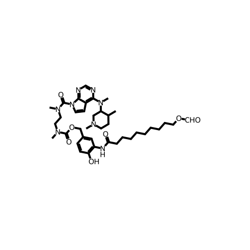 CC1CCN(C)CC1N(C)c1ncnc2c1ccn2C(=O)N(C)CCN(C)C(=O)OCc1ccc(O)c(NC(=O)CCCCCCCCCOC=O)c1